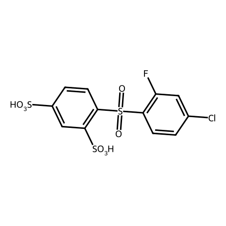 O=S(=O)(O)c1ccc(S(=O)(=O)c2ccc(Cl)cc2F)c(S(=O)(=O)O)c1